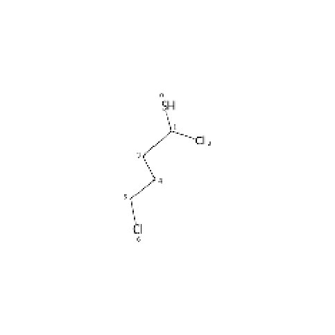 SC(Cl)CCCCl